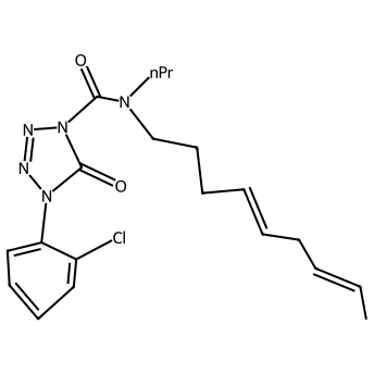 C/C=C/C/C=C/CCCN(CCC)C(=O)n1nnn(-c2ccccc2Cl)c1=O